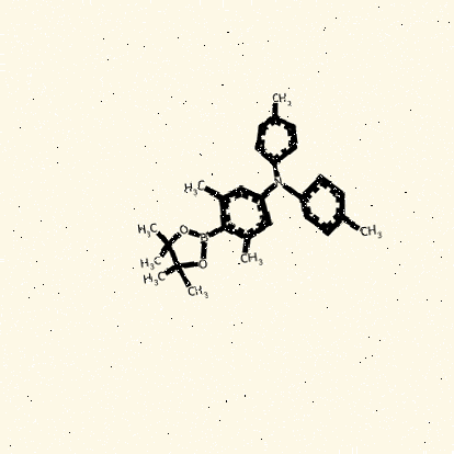 Cc1ccc(N(c2ccc(C)cc2)c2cc(C)c(B3OC(C)(C)C(C)(C)O3)c(C)c2)cc1